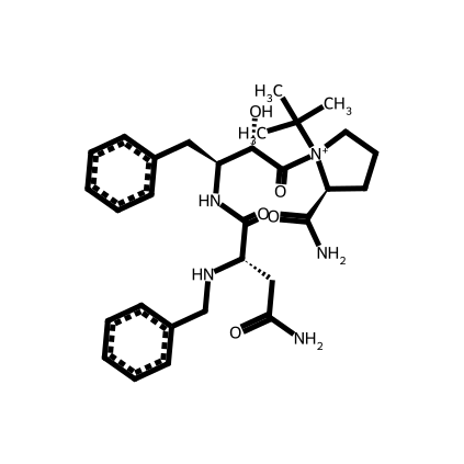 CC(C)(C)[N+]1(C(=O)[C@@H](O)[C@H](Cc2ccccc2)NC(=O)[C@H](CC(N)=O)NCc2ccccc2)CCC[C@H]1C(N)=O